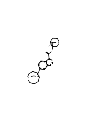 O=C(N[C@H]1CN2CCC1CC2)c1nsc2cc(N3CCN4CCCC3CCC4)ccc12